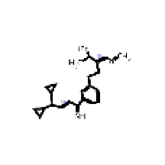 C=N/C=C(\CCc1cccc(C(=N)/C=C/C(C2CC2)C2CC2)c1)C(C)C(C)C